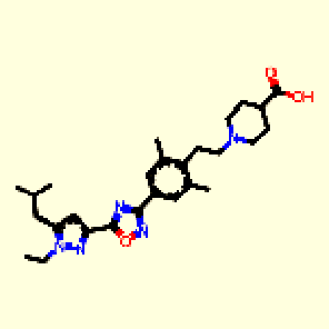 CCn1nc(-c2nc(-c3cc(C)c(CCN4CCC(C(=O)O)CC4)c(C)c3)no2)cc1CC(C)C